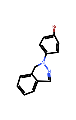 Brc1ccc(N2Cc3ccccc3C=N2)cc1